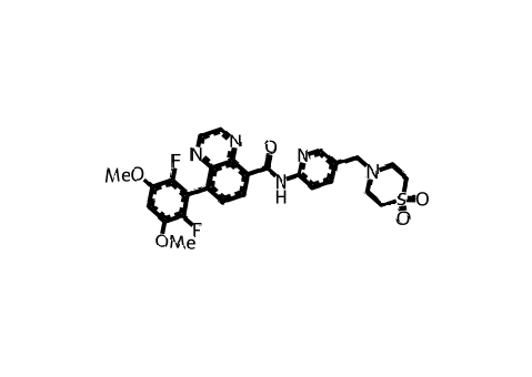 COc1cc(OC)c(F)c(-c2ccc(C(=O)Nc3ccc(CN4CCS(=O)(=O)CC4)cn3)c3nccnc23)c1F